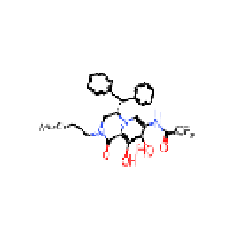 COCCN1C[C@H](C(c2ccccc2)c2ccccc2)N2C=C(NC(=O)C(F)(F)F)C(O)C(O)=C2C1=O